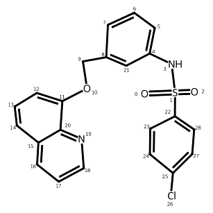 O=S(=O)(Nc1cccc(COc2cccc3cccnc23)c1)c1ccc(Cl)cc1